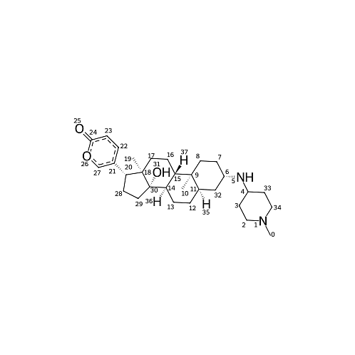 CN1CCC(N[C@H]2CC[C@@]3(C)[C@H](CC[C@@H]4[C@@H]3CC[C@]3(C)[C@@H](c5ccc(=O)oc5)CC[C@]43O)C2)CC1